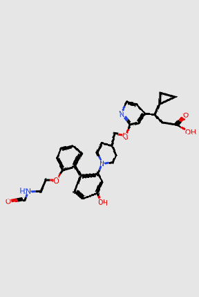 O=CNCCOc1ccccc1-c1ccc(O)cc1N1CCC(COc2cc(C(CC(=O)O)C3CC3)ccn2)CC1